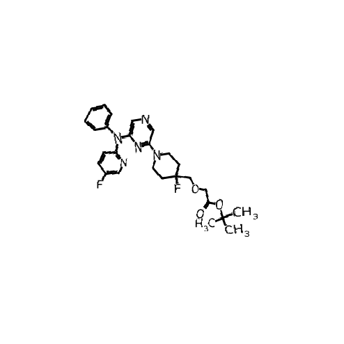 CC(C)(C)OC(=O)COCC1(F)CCN(c2cncc(N(c3ccccc3)c3ccc(F)cn3)n2)CC1